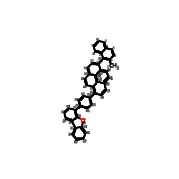 Cc1ccc2ccccc2c1-c1ccc2ccc3c(-c4ccc(-c5cccc6c5oc5ccccc56)cc4)ccc4ccc1c2c43